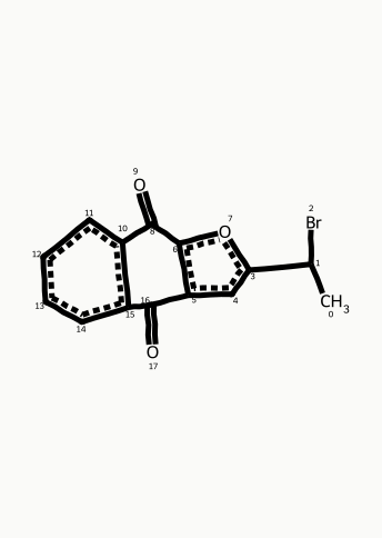 CC(Br)c1cc2c(o1)C(=O)c1ccccc1C2=O